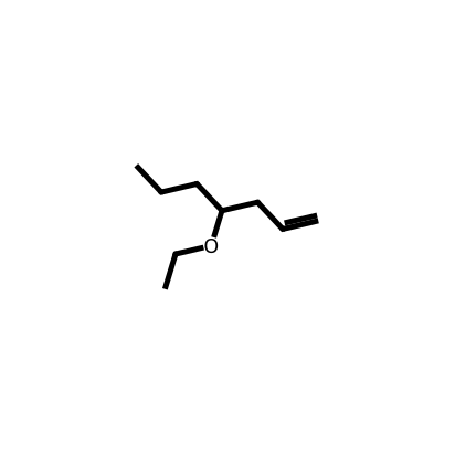 C=CCC(CCC)OCC